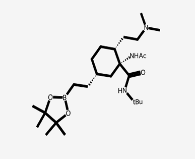 CC(=O)N[C@]1(C(=O)NC(C)(C)C)C[C@H](CCB2OC(C)(C)C(C)(C)O2)CC[C@@H]1CCN(C)C